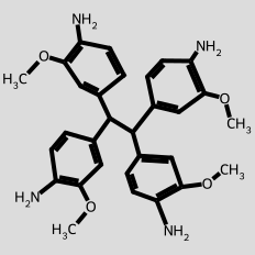 COc1cc(C(c2ccc(N)c(OC)c2)C(c2ccc(N)c(OC)c2)c2ccc(N)c(OC)c2)ccc1N